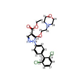 CCOC(=O)c1cnn(-c2ccc(-c3c(Cl)cccc3Cl)cc2)c1OCCN1CCOCC1